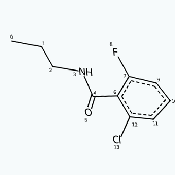 CCCNC(=O)c1c(F)cccc1Cl